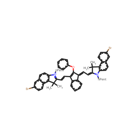 CCCCCN1/C(=C/C=C2C(Oc3ccccc3)=C(/C=C/C3=[N+](CCCCC)c4ccc5cc(Br)ccc5c4C3(C)C)c3ccccc3/2)C(C)(C)c2c1ccc1cc(Br)ccc21